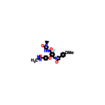 COc1ccc(C2CC(=O)N(Cc3cc(F)c(C(=O)N[C@H]4CC(=O)N(C5CC5)C4)cc3Oc3ccc(-c4nc(C)no4)cc3)C2)cc1